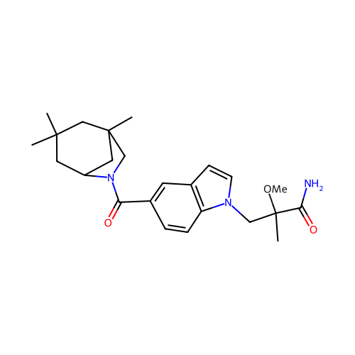 COC(C)(Cn1ccc2cc(C(=O)N3CC4(C)CC3CC(C)(C)C4)ccc21)C(N)=O